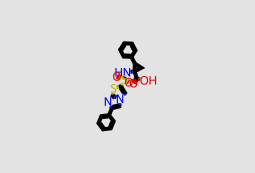 O=C(O)C1(NS(=O)(=O)c2cn3cc(-c4ccccc4)nc3s2)CC1c1ccccc1